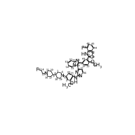 COc1cc(N2CCC(C3CCN(CCF)CC3)CC2)ccc1Nc1nccc(-c2c(-c3ccc(OC)c(C(=O)Nc4c(F)cccc4F)c3)nc3ccccn23)n1